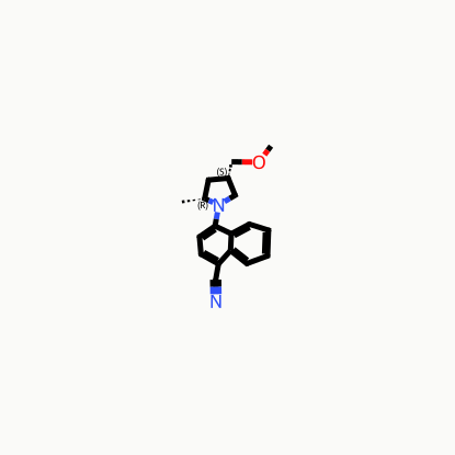 COC[C@H]1C[C@@H](C)N(c2ccc(C#N)c3ccccc23)C1